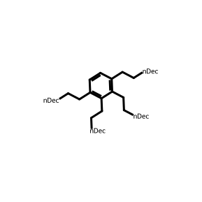 CCCCCCCCCCCCc1ccc(CCCCCCCCCCCC)c(CCCCCCCCCCCC)c1CCCCCCCCCCCC